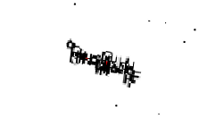 CC(Nc1cc(C(F)(F)F)ccn1)c1ccc(-c2nn3c(c2C(N)=O)Nc2ccc(N4CCN(C(=O)OCc5ccccc5)CC4)cc2CC3)cc1